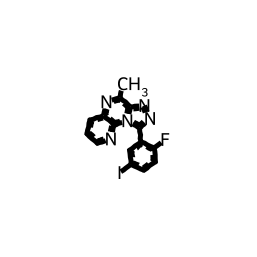 Cc1nc2cccnc2n2c(-c3cc(I)ccc3F)nnc12